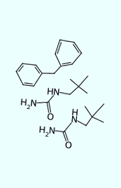 CC(C)(C)CNC(N)=O.CC(C)(C)CNC(N)=O.c1ccc(Cc2ccccc2)cc1